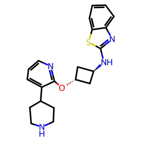 c1cnc(O[C@H]2C[C@H](Nc3nc4ccccc4s3)C2)c(C2CCNCC2)c1